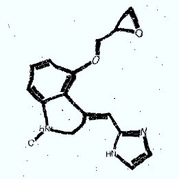 [O-][NH+]1CC(=Cc2ncc[nH]2)c2c(OCC3CO3)cccc21